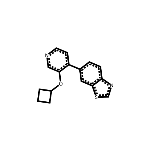 c1cc(-c2ccc3ncsc3c2)c(OC2CCC2)cn1